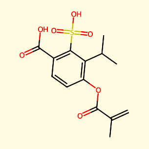 C=C(C)C(=O)Oc1ccc(C(=O)O)c(S(=O)(=O)O)c1C(C)C